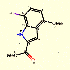 COC(=O)c1cc2c(OC)ccc(I)c2[nH]1